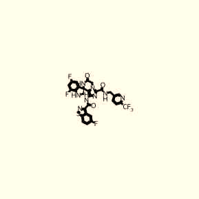 O=C1Cn2c(C(=O)NCc3ccc(C(F)(F)F)nc3)nc(NC(=O)c3nsc4ccc(F)cc34)c2[C@@]2(CNc3c(F)cc(F)cc32)N1